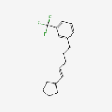 FC(F)(F)c1cccc(CCC/C=C/C2CCCC2)c1